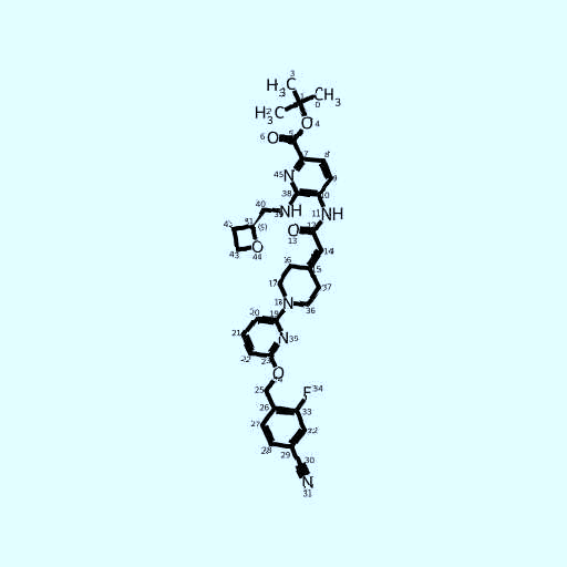 CC(C)(C)OC(=O)c1ccc(NC(=O)C=C2CCN(c3cccc(OCc4ccc(C#N)cc4F)n3)CC2)c(NC[C@@H]2CCO2)n1